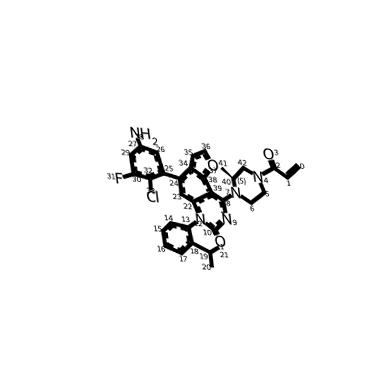 C=CC(=O)N1CCN(c2nc(=O)n(-c3ccccc3C(C)C)c3cc(-c4cc(N)cc(F)c4Cl)c4ccoc4c23)[C@@H](C)C1